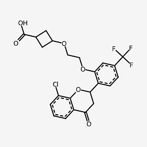 O=C1CC(c2ccc(C(F)(F)F)cc2OCCOC2CC(C(=O)O)C2)Oc2c(Cl)cccc21